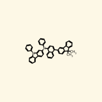 CC1(C)c2ccccc2-c2cc(-c3ccc(N(c4ccccc4)c4ccc5c6ccccc6n(-c6ccccc6)c5c4)c4ccccc34)ccc21